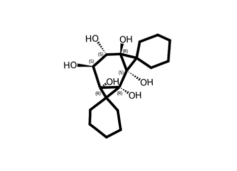 O[C@H]1[C@H](O)[C@]2(O)C3(CCCCC3)[C@]2(O)[C@]2(O)C3(CCCCC3)[C@@]12O